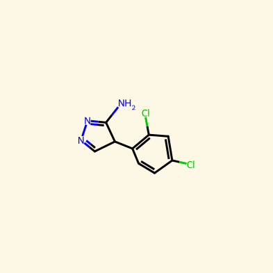 NC1=NN=CC1c1ccc(Cl)cc1Cl